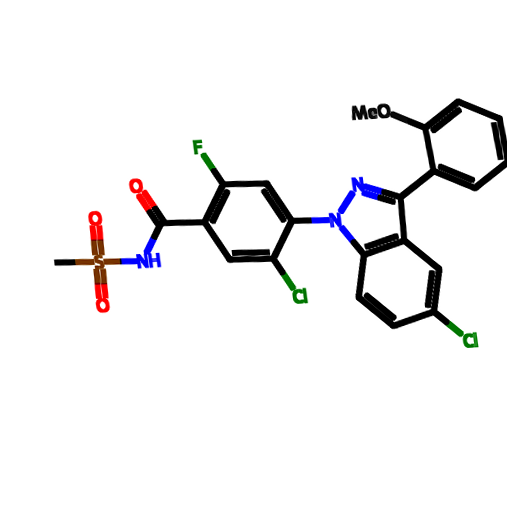 COc1ccccc1-c1nn(-c2cc(F)c(C(=O)NS(C)(=O)=O)cc2Cl)c2ccc(Cl)cc12